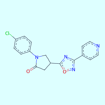 O=C1CC(c2nc(-c3ccncc3)no2)CN1c1ccc(Cl)cc1